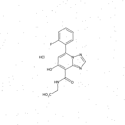 Cl.O=C(O)CNC(=O)c1c(O)cc(-c2ccccc2F)n2ncnc12